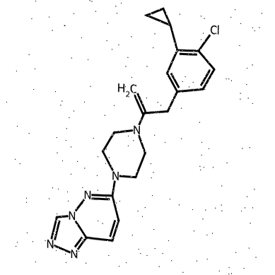 C=C(Cc1ccc(Cl)c(C2CC2)c1)N1CCN(c2ccc3nncn3n2)CC1